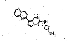 N[C@H]1C[C@@H](Nc2ncc3c(-c4ccc5ncccc5n4)ccn3n2)C1